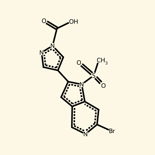 CS(=O)(=O)n1c(-c2cnn(C(=O)O)c2)cc2cnc(Br)cc21